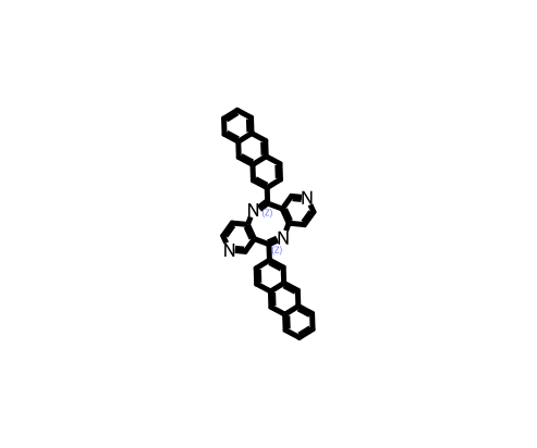 c1ccc2cc3cc(/C4=N/c5ccncc5/C(c5ccc6cc7ccccc7cc6c5)=N\c5ccncc54)ccc3cc2c1